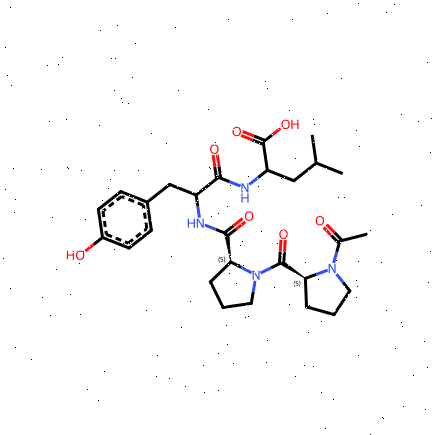 CC(=O)N1CCC[C@H]1C(=O)N1CCC[C@H]1C(=O)NC(Cc1ccc(O)cc1)C(=O)NC(CC(C)C)C(=O)O